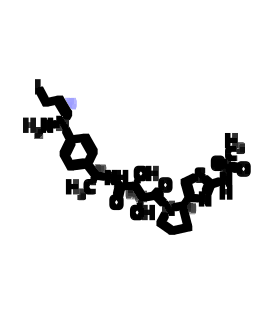 C[C@@H](NC(=O)[C@H](O)[C@@H](O)C(=O)N1CCC[C@@H]1c1csc(NS(C)(=O)=O)n1)c1ccc(N(N)/C=C\CI)cc1